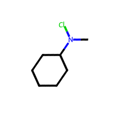 CN(Cl)C1CCCCC1